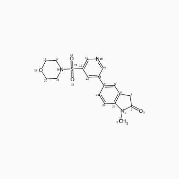 CN1C(=O)Cc2cc(-c3cncc(S(=O)(=O)N4CCOCC4)c3)ccc21